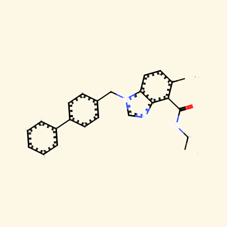 COc1ccc2c(ncn2Cc2ccc(-c3ccccc3)cc2)c1C(=O)NCC(=O)O